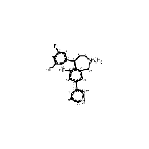 CN1CCC(c2cc(F)cc(F)c2)c2c(F)cc(-c3cccnn3)cc2C1